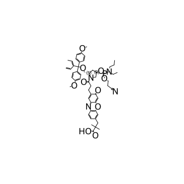 C=CC(=CC)C(OC[C@@H]1C[C@@H](OP(OCCC#N)N(CC)CCC)CN1C(=O)CCc1cc2nc3ccc(CC(C)(C)C(=O)O)cc3oc-2cc1=O)(c1ccc(OC)cc1)c1ccc(OC)cc1